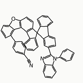 N#Cc1ccc(-c2cccc3oc4ccc5c(c4c23)-c2ccccc2C52c3ccccc3-c3ccc(-c4nc5ccccc5n4-c4ccccc4)cc32)cc1